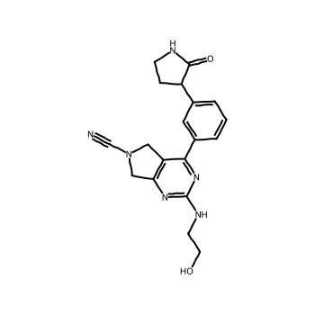 N#CN1Cc2nc(NCCO)nc(-c3cccc(C4CCNC4=O)c3)c2C1